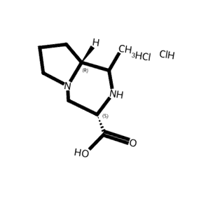 CC1N[C@H](C(=O)O)CN2CCC[C@H]12.Cl.Cl